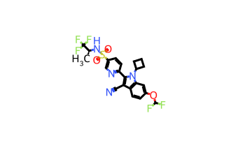 C[C@H](NS(=O)(=O)c1ccc(-c2c(C#N)c3ccc(OC(F)F)cc3n2C2CCC2)nc1)C(F)(F)F